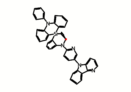 c1ccc(N2c3ccccc3[Si]3(c4ccccc42)c2ccccc2N(c2ccc(-n4c5ccccc5c5ncccc54)cn2)c2ccccc23)cc1